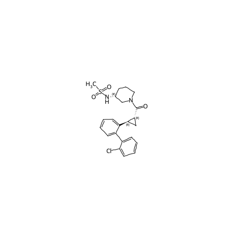 CS(=O)(=O)N[C@@H]1CCCN(C(=O)[C@@H]2C[C@H]2c2ccccc2-c2ccccc2Cl)C1